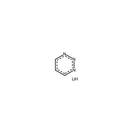 [LiH].c1cnnnc1